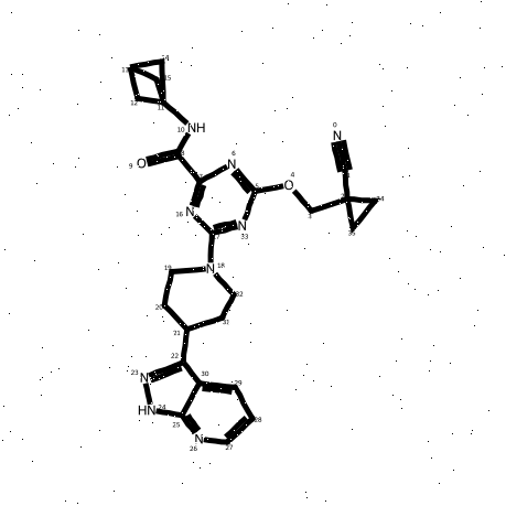 N#CC1(COc2nc(C(=O)NC34CC(C3)C4)nc(N3CCC(c4n[nH]c5ncccc45)CC3)n2)CC1